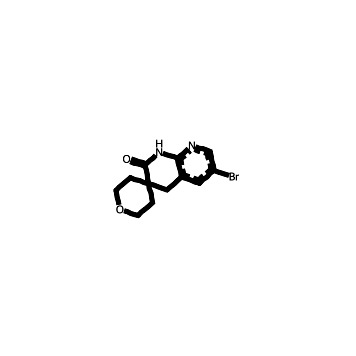 O=C1Nc2ncc(Br)cc2CC12CCOCC2